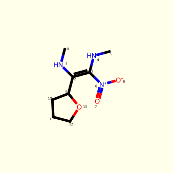 CNC(=C(NC)[N+](=O)[O-])C1CCCO1